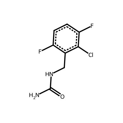 NC(=O)NCc1c(F)ccc(F)c1Cl